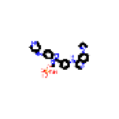 O=P(O)(O)OCn1c(-c2cccc(Nc3ccnc4ccc(N5CCC5)cc34)c2)nc2ccc(Nc3ccncc3)cc21